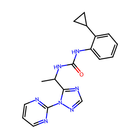 CC(NC(=O)Nc1ccccc1C1CC1)c1ncnn1-c1ncccn1